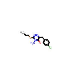 C=CCSc1nnc(Cc2ccc(Cl)cc2)c(=O)n1N